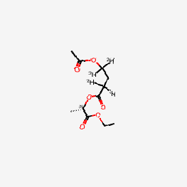 [2H]C([2H])(CC([2H])([2H])C(=O)O[C@@H](C)C(=O)OCC)OC(C)=O